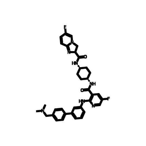 CN(C)Cc1ccc(-c2cccc(Nc3ncc(F)cc3C(=O)N[C@H]3CC[C@@H](NC(=O)C4CN5C=C(F)C=CC5=N4)CC3)c2)cc1